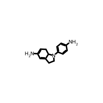 NC1=CCC2C(=C1)CCN2c1ccc(N)cc1